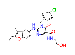 CCc1oc2ccc(Nc3ncc(C(=O)NCCO)c(=O)n3Cc3ccc(Cl)cc3)cc2c1C